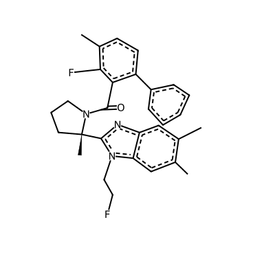 Cc1cc2nc([C@]3(C)CCCN3C(=O)c3c(-c4ccccc4)ccc(C)c3F)n(CCF)c2cc1C